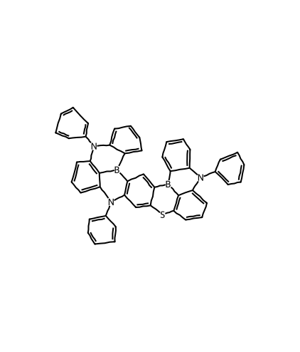 c1ccc(N2c3ccccc3B3c4cc5c(cc4Sc4cccc2c43)N(c2ccccc2)c2cccc3c2B5c2ccccc2N3c2ccccc2)cc1